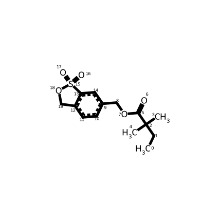 CCC(C)(C)C(=O)OCc1ccc2c(c1)S(=O)(=O)OC2